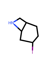 IC1CCC2CNC2C1